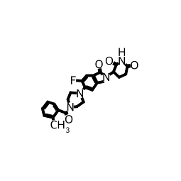 Cc1ccccc1C(=O)N1CCN(c2cc3c(cc2F)C(=O)N(C2CCC(=O)NC2=O)C3)CC1